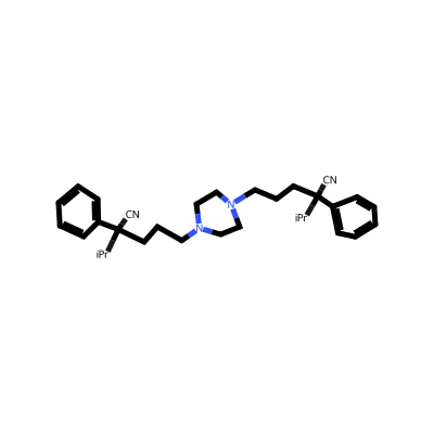 CC(C)C(C#N)(CCCN1CCN(CCCC(C#N)(c2ccccc2)C(C)C)CC1)c1ccccc1